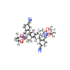 CC1(C)OB(c2ccc3c(c2)c(-c2cc(C#N)ccc2C#N)cc2c4ccc(B5OC(C)(C)C(C)(C)O5)cc4c(-c4cc(C#N)ccc4C#N)cc32)OC1(C)C